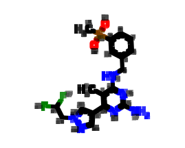 Cc1c(NCc2cccc(S(C)(=O)=O)c2)nc(N)nc1-c1cnn(CC(F)F)c1